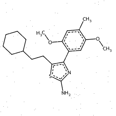 COc1cc(-c2nc(N)sc2CCC2CCCCC2)c(OC)cc1C